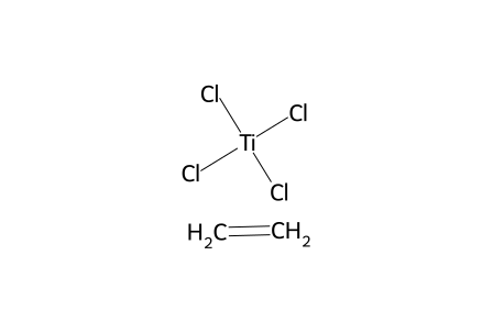 C=C.[Cl][Ti]([Cl])([Cl])[Cl]